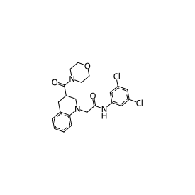 O=C(CN1CC(C(=O)N2CCOCC2)Cc2ccccc21)Nc1cc(Cl)cc(Cl)c1